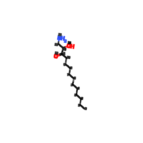 CCCCCCCCCCCC(=O)C(O)CN